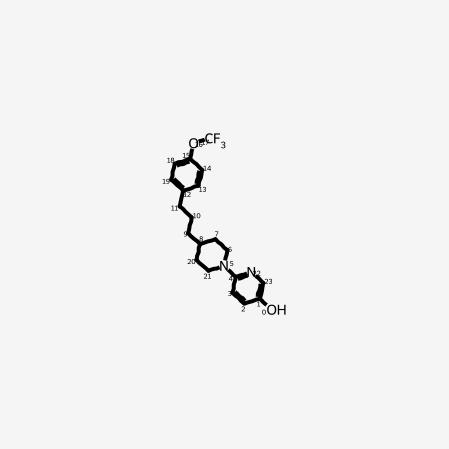 Oc1ccc(N2CCC(CCCc3ccc(OC(F)(F)F)cc3)CC2)nc1